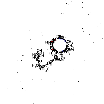 CO[C@H]1C[C@@H]2CC[C@@H](C)[C@@](O)(O2)C(=O)C(=O)N2CCCC[C@H]2C(=O)O[C@H]([C@H](C)C[C@@H]2CC[C@@H](OCCOC(=O)OCCSSC[C@H](NC(=O)[C@@H](C)CCC(=O)NC[C@H](O)[C@@H](O)[C@H](O)[C@H](O)CO)C(=O)O)[C@H](OC)C2)CC(=O)[C@H](C)/C=C(\C)[C@@H](O)[C@@H](OC)C(=O)[C@H](C)C[C@H](C)/C=C/C=C/C=C/1C